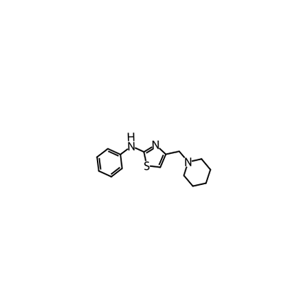 c1ccc(Nc2nc(CN3CCCCC3)cs2)cc1